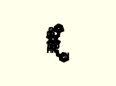 Cc1c(C)c2c(c(C)c1S(=O)(=O)NCCc1cccnc1)Cc1ccccc1S2(=O)=O